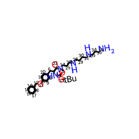 CC(C)(C)OC(=O)NC(Cc1ccc(OCc2ccccc2)cc1)C(=O)/N=C/CCNCCCCNCCCN